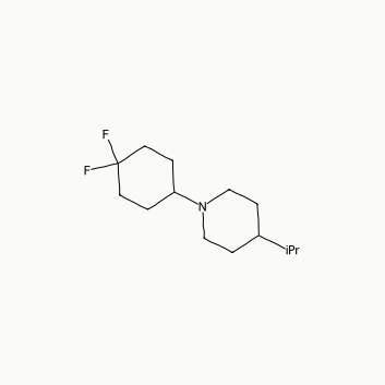 CC(C)C1CCN(C2CCC(F)(F)CC2)CC1